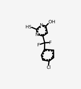 Oc1cc(C(F)(F)c2ccc(Cl)cc2)nc(S)n1